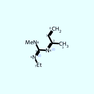 C=C/C(C)=N\C(=N/CC)NC